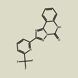 O=c1[nH]c2ccccc2c2nc(-c3cccc(C(F)(F)F)n3)nn12